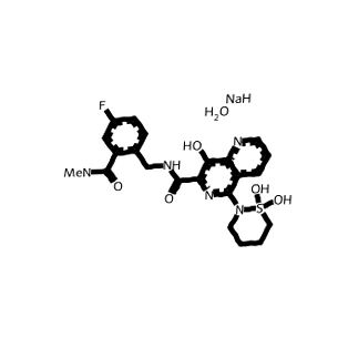 CNC(=O)c1cc(F)ccc1CNC(=O)c1nc(N2CCCCS2(O)O)c2cccnc2c1O.O.[NaH]